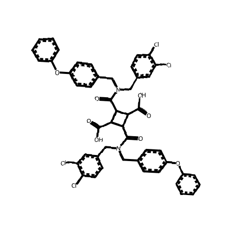 O=C(O)C1C(C(=O)N(Cc2ccc(Oc3ccccc3)cc2)Cc2ccc(Cl)c(Cl)c2)C(C(=O)O)C1C(=O)N(Cc1ccc(Oc2ccccc2)cc1)Cc1ccc(Cl)c(Cl)c1